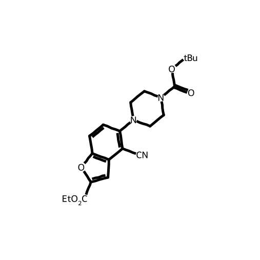 CCOC(=O)c1cc2c(C#N)c(N3CCN(C(=O)OC(C)(C)C)CC3)ccc2o1